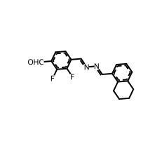 O=Cc1ccc(/C=N/N=C/c2cccc3c2CCCC3)c(F)c1F